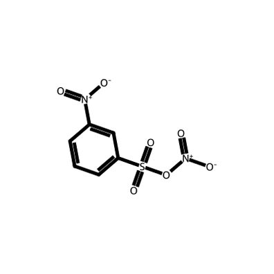 O=[N+]([O-])OS(=O)(=O)c1cccc([N+](=O)[O-])c1